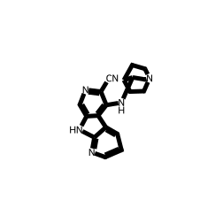 N#Cc1ncc2[nH]c3ncccc3c2c1NC1CN2CCC1CC2